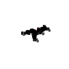 Cc1ccc(S(=O)(=O)n2c(C(=O)c3cnn(-c4ccc5c(c4)ncn5C)c3N)cc3ccc(-c4ccc(C(F)(F)F)cn4)cc32)cc1